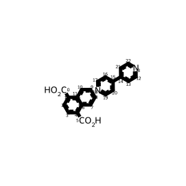 O=C(O)c1ccc(C(=O)O)c2ccccc12.c1cc(-c2ccncc2)ccn1